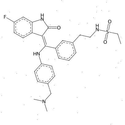 CCS(=O)(=O)NCCc1cccc(C(Nc2ccc(CN(C)C)cc2)=C2C(=O)Nc3cc(F)ccc32)c1